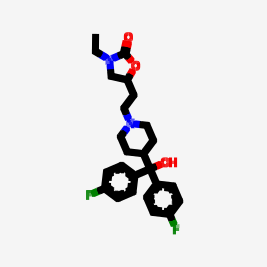 CCN1CC(CCN2CCC(C(O)(c3ccc(F)cc3)c3ccc(F)cc3)CC2)OC1=O